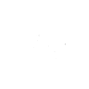 CC(C)CCC(CCC(C)C)(C(=O)O)C(=O)O